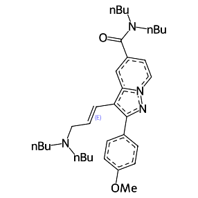 CCCCN(C/C=C/c1c(-c2ccc(OC)cc2)nn2ccc(C(=O)N(CCCC)CCCC)cc12)CCCC